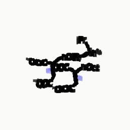 CCCCCCCC/C(=C/C(=O)[O-])C(=O)[O-].CCCCCCCC/C(=C/C(=O)[O-])C(=O)[O-].C[CH](C)[Sn+4][CH](C)C